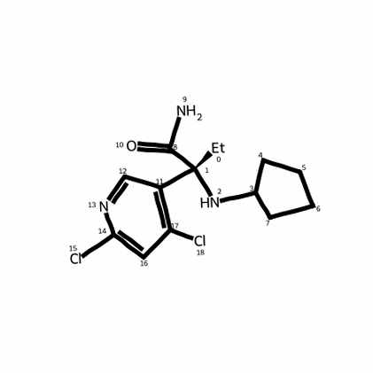 CC[C@](NC1CCCC1)(C(N)=O)c1cnc(Cl)cc1Cl